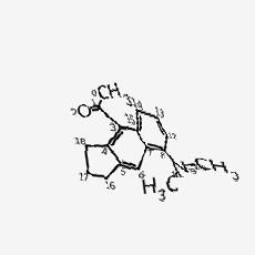 CC(=O)c1c2c(cc3c(N(C)C)cccc13)CCC2